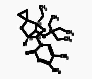 CC[C@@]12O[C@@H](n3cc(C)c(N)nc3=O)[C@@H](OC13CC3)C2O[Si](CC)(CC)CC